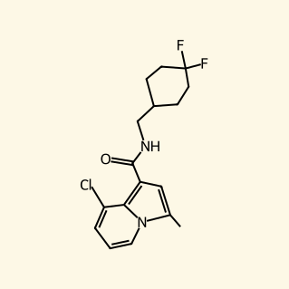 Cc1cc(C(=O)NCC2CCC(F)(F)CC2)c2c(Cl)cccn12